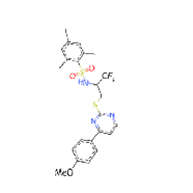 COc1ccc(-c2ccnc(SCC(NS(=O)(=O)c3c(C)cc(C)cc3C)C(F)(F)F)n2)cc1